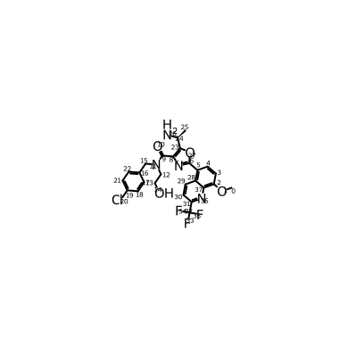 COc1ccc(-c2nc(C(=O)N(CCO)Cc3ccc(Cl)cc3)c([C@H](C)N)o2)c2ccc(C(F)(F)F)nc12